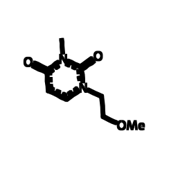 COCCn1ccc(=O)n(C)c1=O